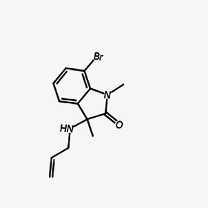 C=CCNC1(C)C(=O)N(C)c2c(Br)cccc21